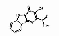 COC(=O)c1nc2n(c(=O)c1O)NC1C=CC=CC21